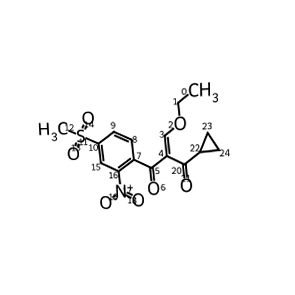 CCOC=C(C(=O)c1ccc(S(C)(=O)=O)cc1[N+](=O)[O-])C(=O)C1CC1